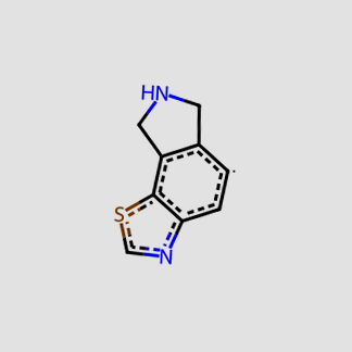 [c]1cc2ncsc2c2c1CNC2